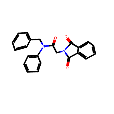 O=C1c2ccccc2C(=O)N1CC(=O)N(Cc1ccccc1)c1ccccc1